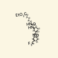 CCOC(=O)CCCCCNC(=O)Nc1cccc(-c2nc3cc(C(F)(F)F)ccc3o2)c1